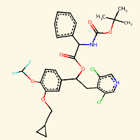 CC(C)(C)OC(=O)NC(C(=O)OC(Cc1c(Cl)cncc1Cl)c1ccc(OC(F)F)c(OCC2CC2)c1)c1ccccc1